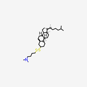 CC(C)CCC[C@@H](C)[C@H]1CCC2[C@@H]3CC=C4CC(SSCCCCN(C)C)CC[C@]4(C)[C@H]3CC[C@@]21C